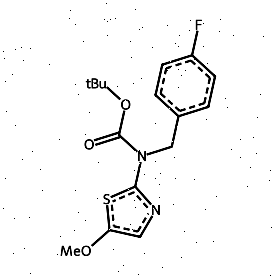 COc1cnc(N(Cc2ccc(F)cc2)C(=O)OC(C)(C)C)s1